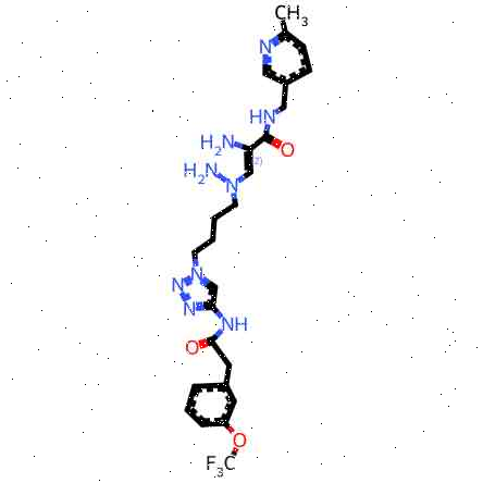 Cc1ccc(CNC(=O)/C(N)=C/N(N)CCCCn2cc(NC(=O)Cc3cccc(OC(F)(F)F)c3)nn2)cn1